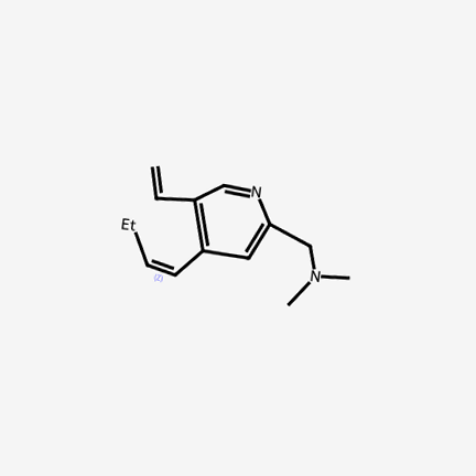 C=Cc1cnc(CN(C)C)cc1/C=C\CC